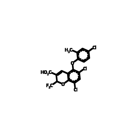 Cc1cc(Cl)ccc1Oc1c(Cl)cc(Cl)c2c1C=C(C(=O)O)C(C(F)(F)F)O2